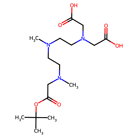 CN(CCN(C)CC(=O)OC(C)(C)C)CCN(CC(=O)O)CC(=O)O